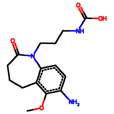 COc1c(N)ccc2c1CCCC(=O)N2CCCNC(=O)O